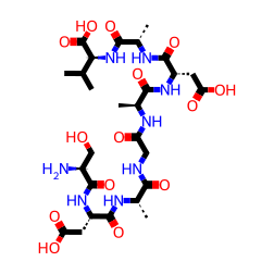 CC(C)[C@H](NC(=O)[C@H](C)NC(=O)[C@H](CC(=O)O)NC(=O)[C@H](C)NC(=O)CNC(=O)[C@H](C)NC(=O)[C@H](CC(=O)O)NC(=O)[C@@H](N)CO)C(=O)O